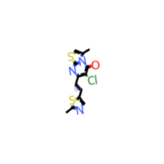 Cc1ncc(/C=C/c2nc3scc(C)n3c(=O)c2Cl)s1